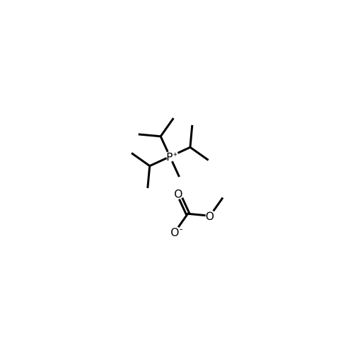 CC(C)[P+](C)(C(C)C)C(C)C.COC(=O)[O-]